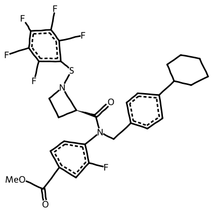 COC(=O)c1ccc(N(Cc2ccc(C3CCCCC3)cc2)C(=O)[C@H]2CCN2Sc2c(F)c(F)c(F)c(F)c2F)c(F)c1